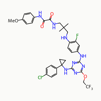 COc1ccc(NC(=O)C(=O)NCC(C)(C)CNc2ccc(Nc3nc(NC4(c5ccc(Cl)cc5)CC4)nc(OCC(F)(F)F)n3)cc2F)cc1